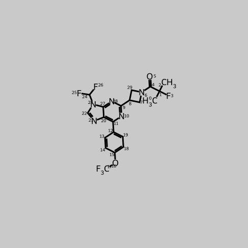 CC(C)(F)C(=O)N1CC(c2nc(-c3ccc(OC(F)(F)F)cc3)c3ncn(C(F)F)c3n2)C1